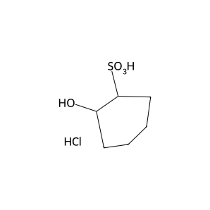 Cl.O=S(=O)(O)C1CCCCC1O